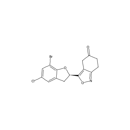 O=C1CCc2noc([C@H]3Cc4cc(Cl)cc(Br)c4O3)c2C1